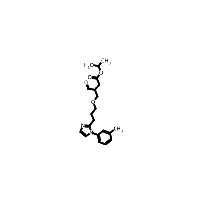 Cc1cccc(-n2ccnc2CCCOCC(C=O)CC(=O)OC(C)C)c1